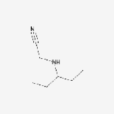 CCC(CC)NCC#N